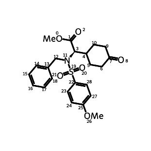 COC(=O)[C@@H](C1CCC(=O)CC1)N(Cc1ccccc1)S(=O)(=O)c1ccc(OC)cc1